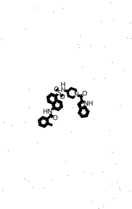 Cc1ccccc1C(=O)Nc1cccc2c(S(=O)(=O)NC3CCN(C(=O)c4cc5ccccc5[nH]4)CC3)cccc12